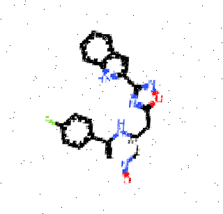 C=C(N[C@@H](CN=O)Cc1nc(-c2cc3ccccc3[nH]2)no1)c1ccc(F)cc1